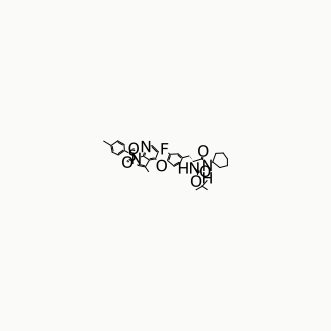 Cc1ccc(S(=O)(=O)n2cc(C)c3c(Oc4ccc(C[C@@H](NC(=O)OC(C)(C)C)C(=O)NC5CCCCC5)cc4F)ccnc32)cc1